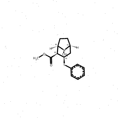 COC(=O)[C@H]1[C@H]2CC[C@@H](C[C@H]1Sc1ccccc1)N2C